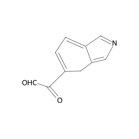 O=CC(=O)C1=CC=C2C=NC=C2C1